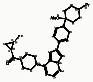 COC1(C2C=CC(c3cc4c(N5CCN(C(=O)[C@H]6C[C@@H]6F)CC5)ccnn4c3)=CC2)CCN(C(C)C)CC1